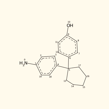 Nc1ccc(C2(c3ccc(O)cc3)CCCCC2)cc1